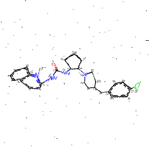 O=C(Nc1ccc2ccccc2n1)NC1CCCC1N1CCC(Cc2ccc(Cl)cc2)CC1